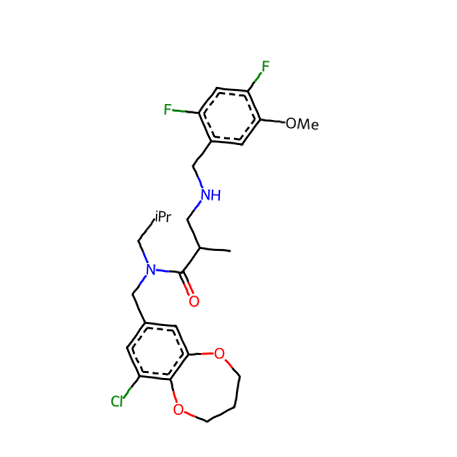 COc1cc(CNCC(C)C(=O)N(Cc2cc(Cl)c3c(c2)OCCCO3)CC(C)C)c(F)cc1F